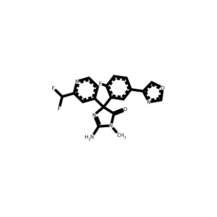 CN1C(=O)C(c2ccnc(C(F)F)c2)(c2cc(-c3cocn3)ccc2F)N=C1N